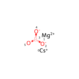 [Cs+].[Mg+2].[O-]B([O-])[O-]